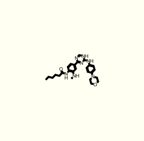 CCCCCC(=O)Nc1ccc(C2=NC(Nc3ccc(N4CCOCC4)cc3)NC=N2)cc1NC